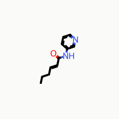 CCCC=CC(=O)Nc1cccnc1